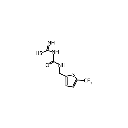 N=C(S)NC(=O)NCc1ccc(C(F)(F)F)s1